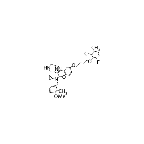 COc1cccc(CN(C(=O)C2=C(c3cccc(OCCCCOc4c(F)ccc(C)c4Cl)c3)CC3CNCC2N3)C2CC2)c1C